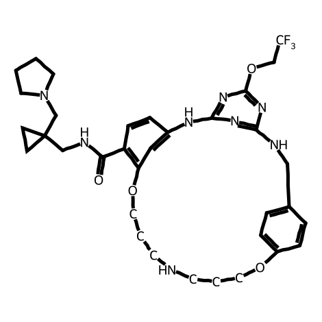 O=C(NCC1(CN2CCCC2)CC1)c1ccc2cc1OCCCNCCCOc1ccc(cc1)CNc1nc(nc(OCC(F)(F)F)n1)N2